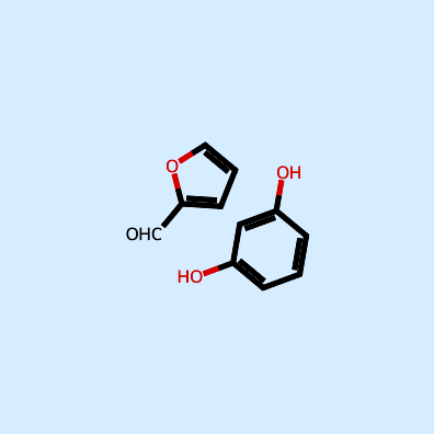 O=Cc1ccco1.Oc1cccc(O)c1